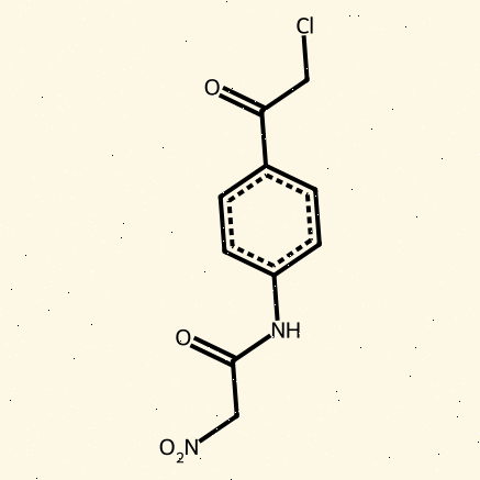 O=C(C[N+](=O)[O-])Nc1ccc(C(=O)CCl)cc1